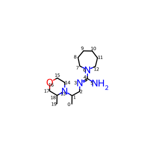 CC(C/N=C(\N)N1CCCCCC1)N1CCOCC1C